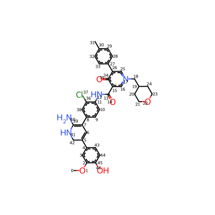 COc1cc(C2=CC(c3ccc(NC(=O)c4cn(CC5CCOCC5)cc(-c5ccc(C)cc5)c4=O)c(Cl)c3)=C(N)NC2)ccc1O